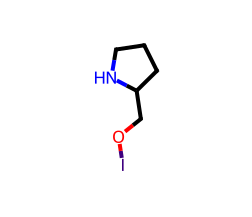 IOCC1CCCN1